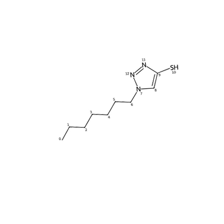 CCCCCCCn1cc(S)nn1